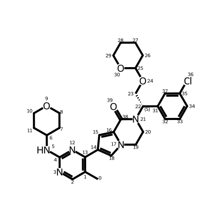 Cc1cnc(NC2CCOCC2)nc1-c1cc2n(c1)CCN([C@H](COC1CCCCO1)c1cccc(Cl)c1)C2=O